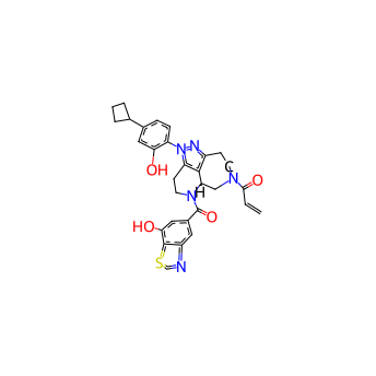 C=CC(=O)N1CCc2nn(-c3ccc(C4CCC4)cc3O)c3c2[C@H](C1)N(C(=O)c1cc(O)c2scnc2c1)CC3